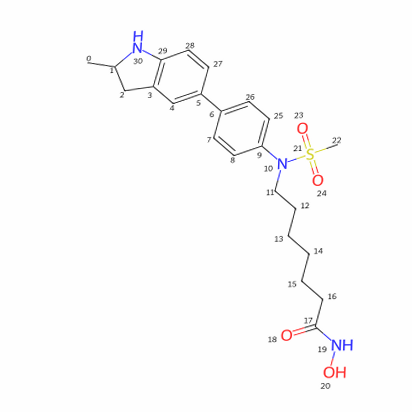 CC1Cc2cc(-c3ccc(N(CCCCCCC(=O)NO)S(C)(=O)=O)cc3)ccc2N1